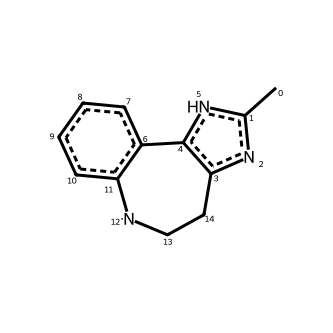 Cc1nc2c([nH]1)-c1ccccc1[N]CC2